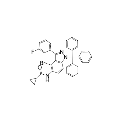 O=C(Nc1ccc2c(c(-c3cccc(F)c3)nn2C(c2ccccc2)(c2ccccc2)c2ccccc2)c1Br)C1CC1